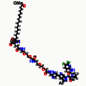 COC(=O)CCCCCCCCCCCCCCCCC(=O)N[C@@H](CCC(=O)NCCOCCOCC(=O)NCCOCCOCC(=O)NCc1ncc(-c2cc3c(C(C)=O)nn(CC(=O)N4[C@H](C(=O)Nc5nc(Br)c(F)cc5C)C[C@@]5(C)C[C@@H]45)c3cn2)cn1)C(=O)OC